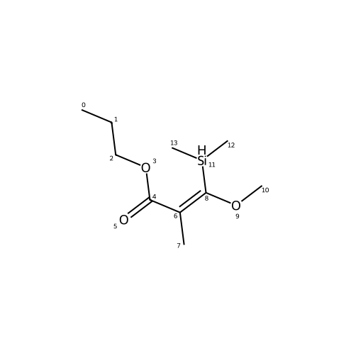 CCCOC(=O)C(C)=C(OC)[SiH](C)C